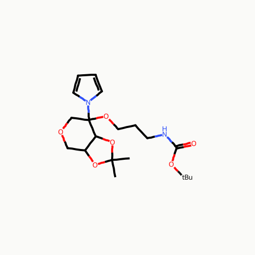 CC(C)(C)OC(=O)NCCCOC1(n2cccc2)COCC2OC(C)(C)OC21